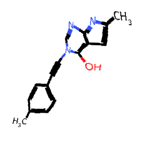 Cc1ccc(C#Cn2cnc3nc(C)cc-3c2O)cc1